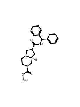 CC(C)(C)OC(=O)N1CCN2C[C@@H](C(=O)NC(c3ccccc3)c3ccccc3)C[C@H]2C1